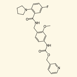 COc1cc(NC(=O)OCc2cccnc2)ccc1CNC(=O)c1cc(F)ccc1N1CCCC1